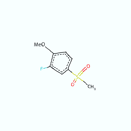 COc1ccc(S(C)(=O)=O)cc1F